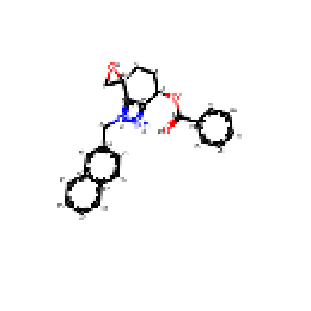 O=C(O[C@@H]1CC[C@]2(CO2)c2c1[nH]n2Cc1ccc2ccccc2c1)c1ccccc1